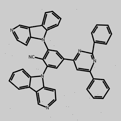 N#Cc1c(-n2c3ccccc3c3cnccc32)cc(-c2cc(-c3ccccc3)nc(-c3ccccc3)n2)cc1-n1c2ccccc2c2cnccc21